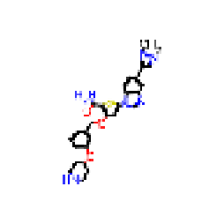 Cn1cc(-c2ccc3c(c2)ncn3-c2cc(OCc3cccc(OC4CCNCC4)c3)c(C(N)=O)s2)cn1